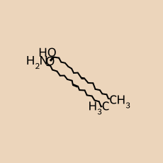 CCCCCCCCC=CCCCCCCCC(=O)O.CCCCCCCCC=CCCCCCCCCN